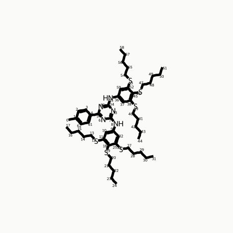 [CH2]c1ccc(-c2nc(Nc3cc(SCCCCC)c(SCCCCC)c(SCCCCC)c3)nc(Nc3cc(SCCCCC)c(SCCCCC)c(SCCCCC)c3)n2)cc1